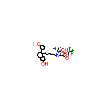 CC(C)(O)CN(CCCCCCC1=C(c2cccc(O)c2)CCCc2cc(O)ccc21)CCCS(=O)(=O)CCC(F)(F)F